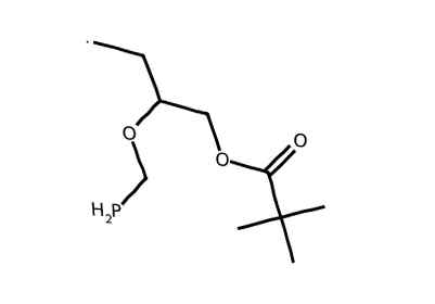 [CH2]CC(COC(=O)C(C)(C)C)OCP